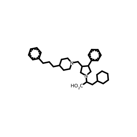 O=C(O)C(CC1CCCCC1)N1CC(CN2CCC(CCCc3ccccc3)CC2)C(c2ccccc2)C1